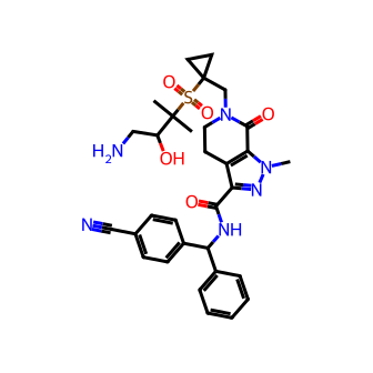 Cn1nc(C(=O)NC(c2ccccc2)c2ccc(C#N)cc2)c2c1C(=O)N(CC1(S(=O)(=O)C(C)(C)C(O)CN)CC1)CC2